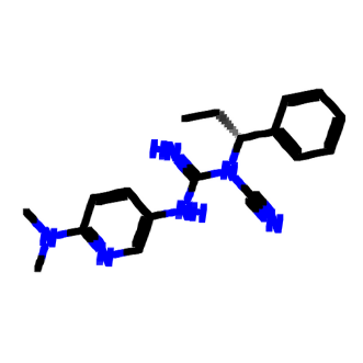 CC[C@H](c1ccccc1)N(C#N)C(=N)Nc1ccc(N(C)C)nc1